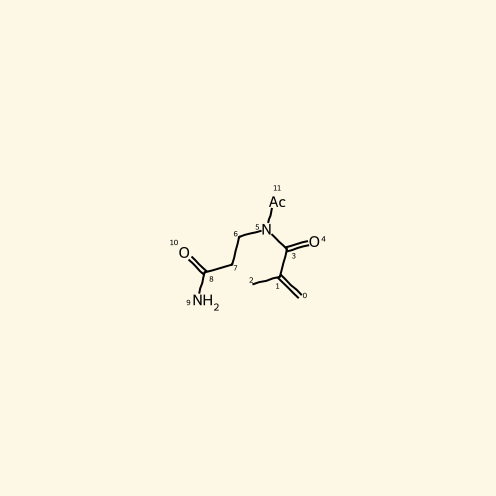 C=C(C)C(=O)N(CCC(N)=O)C(C)=O